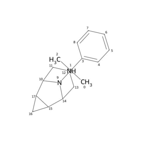 CC(C)(c1ccccc1)N1C2CNCC1C1CC12